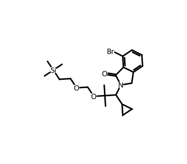 CC(C)(OCOCC[Si](C)(C)C)C(C1CC1)N1Cc2cccc(Br)c2C1=O